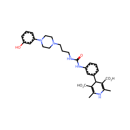 CC1=C(C(=O)O)C(c2cccc(NC(=O)NCCCN3CCN(c4cccc(O)c4)CC3)c2)C(C(=O)O)=C(C)N1